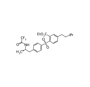 CCOC(=O)c1cc(CCC(C)C)ccc1S(=O)(=O)c1ccc(C[C@@H](C)NC(=O)C(F)(F)F)cc1